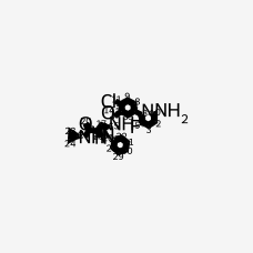 Nc1ccc(F)c(-c2ccc(Cl)c(C(=O)Nc3cc(C(=O)NC4CC4)nn3-c3ccccc3)c2)n1